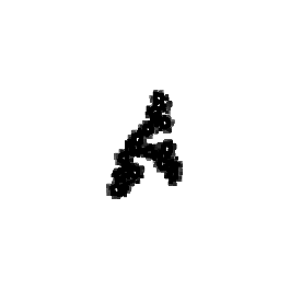 CC1(C)c2ccccc2-c2ccc3c(c21)c1ccccc1n3-c1ccc(-c2ccc3nc(-c4cccc(-n5c6ccccc6c6c7c(ccc65)-c5ccccc5C7(C)C)c4)nc(-c4ccc(-n5c6ccccc6c6c7c(ccc65)-c5ccccc5C7(C)C)cc4)c3c2)cc1